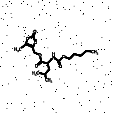 CCCCCOC(=O)NC(CC(C)C)C(=O)OCc1oc(=O)oc1C